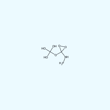 OC(O)(O)OC1(NP)OO1